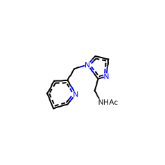 CC(=O)NCc1nccn1Cc1ccccn1